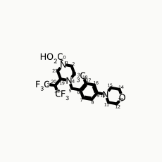 O=C(O)N1CCN(Cc2ccc(N3CCOCC3)cc2C(F)(F)F)C(C(C(F)(F)F)C(F)(F)F)C1